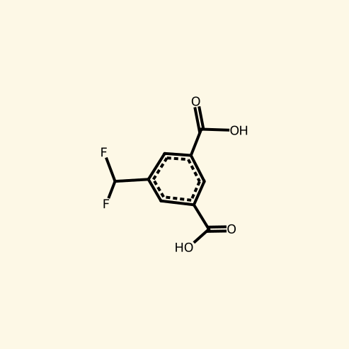 O=C(O)c1cc(C(=O)O)cc(C(F)F)c1